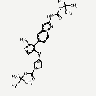 Cn1ncc(O[C@H]2CCN(C(=O)OC(C)(C)C)C2)c1-c1ccn2nc(NC(=O)OC(C)(C)C)cc2c1